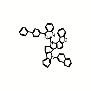 c1ccc(-c2ccc(-c3nc(-n4c5ccc6c7ccccc7n(-c7ccc8ccccc8c7)c6c5c5ccc6oc7ccccc7c6c54)nc4ccccc34)cc2)cc1